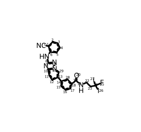 N#Cc1ccccc1Nc1nc2ccc(-c3cccc(C(=O)NCCC(F)(I)I)c3)cn2n1